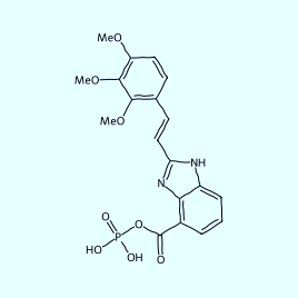 COc1ccc(/C=C/c2nc3c(C(=O)OP(=O)(O)O)cccc3[nH]2)c(OC)c1OC